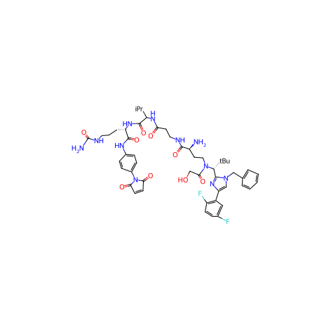 CC(C)C(NC(=O)CCNC(=O)[C@@H](N)CCN(C(=O)CO)[C@@H](c1nc(-c2cc(F)ccc2F)cn1Cc1ccccc1)C(C)(C)C)C(=O)N[C@@H](CCCNC(N)=O)C(=O)Nc1ccc(N2C(=O)C=CC2=O)cc1